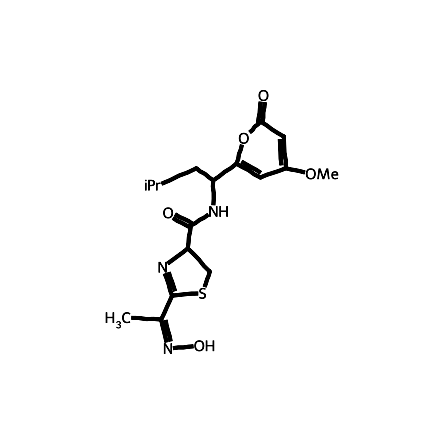 COc1cc(C(CC(C)C)NC(=O)C2CSC(/C(C)=N\O)=N2)oc(=O)c1